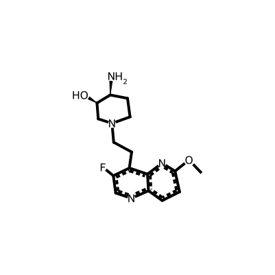 COc1ccc2ncc(F)c(CCN3CC[C@H](N)[C@H](O)C3)c2n1